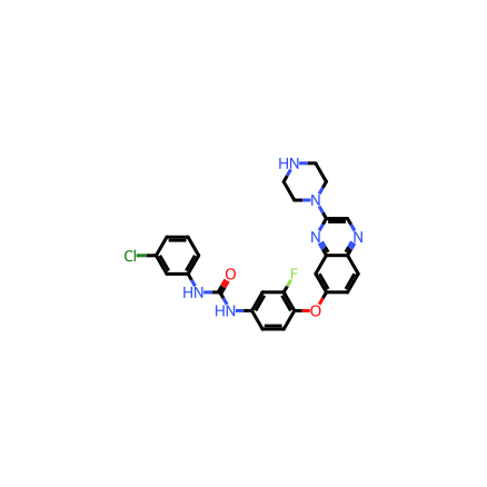 O=C(Nc1cccc(Cl)c1)Nc1ccc(Oc2ccc3ncc(N4CCNCC4)nc3c2)c(F)c1